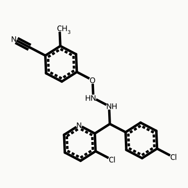 Cc1cc(ONNC(c2ccc(Cl)cc2)c2ncccc2Cl)ccc1C#N